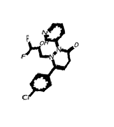 O=C1CC=C(c2ccc(Cl)cc2)N(CC(O)C(F)F)N1c1cccnc1